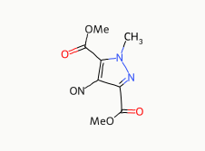 COC(=O)c1nn(C)c(C(=O)OC)c1N=O